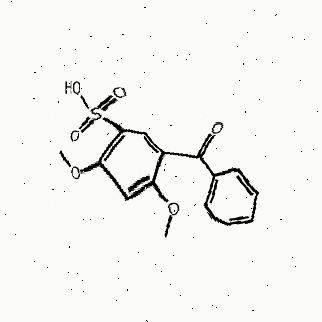 COc1cc(OC)c(S(=O)(=O)O)cc1C(=O)c1ccccc1